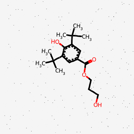 CC(C)(C)c1cc(C(=O)OCCCO)cc(C(C)(C)C)c1O